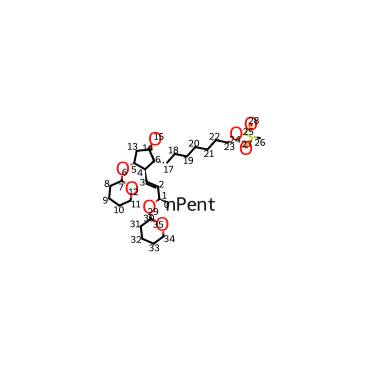 CCCCC[C@H](/C=C/[C@H]1[C@H](OC2CCCCO2)CC(=O)[C@@H]1CCCCCCCOS(C)(=O)=O)OC1CCCCO1